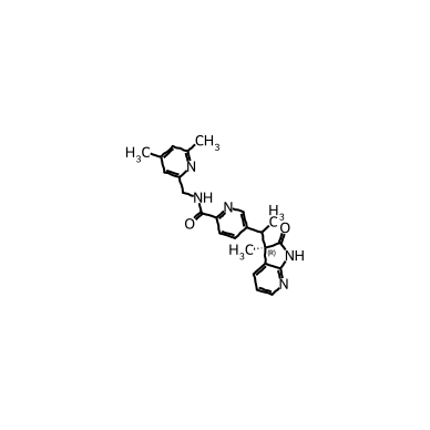 Cc1cc(C)nc(CNC(=O)c2ccc(C(C)[C@@]3(C)C(=O)Nc4ncccc43)cn2)c1